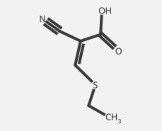 CCSC=C(C#N)C(=O)O